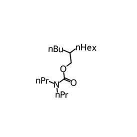 CCCCCCC(CCCC)COC(=O)N(CCC)CCC